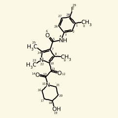 Cc1cc(NC(=O)c2c(C)c(C(=O)C(=O)N3CCC(O)CC3)n(C)c2C)ccc1F